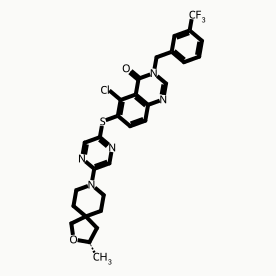 C[C@H]1CC2(CCN(c3cnc(Sc4ccc5ncn(Cc6cccc(C(F)(F)F)c6)c(=O)c5c4Cl)cn3)CC2)CO1